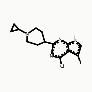 Clc1nc(C2CCN(C3CC3)CC2)nc2[nH]cc(I)c12